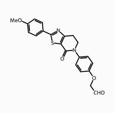 COc1ccc(-c2nc3c(s2)C(=O)N(c2ccc(OCC=O)cc2)CC3)cc1